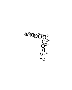 [Fe].[Fe].[KH].[KH].[O-2].[O-2].[O-2].[O-2].[O-2].[V+5].[V+5]